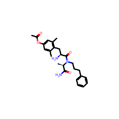 CC(=O)Oc1cc(C)c(C[C@H](N)C(=O)N(CCCc2ccccc2)[C@H](C)C(N)=O)c(C)c1